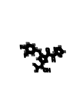 CC(C)C(O)c1cc(C(=O)Nc2nccs2)n(Cc2ccc(F)c(F)c2)c1